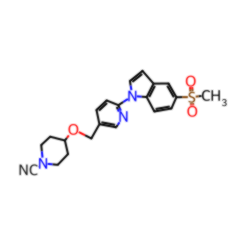 CS(=O)(=O)c1ccc2c(ccn2-c2ccc(COC3CCN(C#N)CC3)cn2)c1